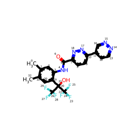 Cc1cc(NC(=O)c2ccc(-c3ccnnc3)nn2)c(C(O)(C(F)(F)F)C(F)(F)F)cc1C